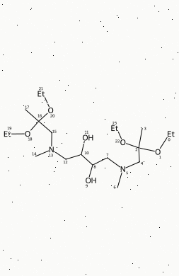 CCOC(C)(CN(C)CC(O)C(O)CN(C)CC(C)(OCC)OCC)OCC